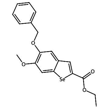 CCOC(=O)c1cc2cc(OCc3ccccc3)c(OC)cc2[se]1